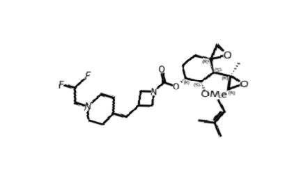 CO[C@@H]1[C@H](OC(=O)N2CC(CC3CCN(CC(F)F)CC3)C2)CC[C@]2(CO2)[C@H]1[C@@]1(C)O[C@@H]1CC=C(C)C